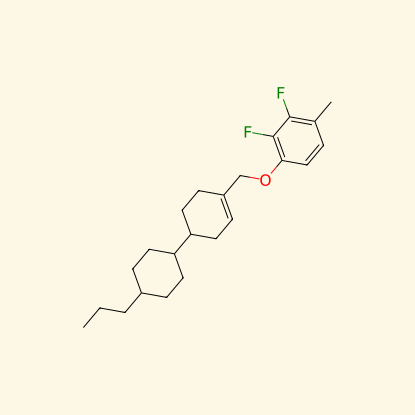 CCCC1CCC(C2CC=C(COc3ccc(C)c(F)c3F)CC2)CC1